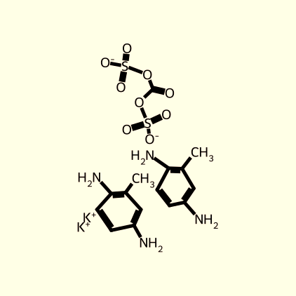 Cc1cc(N)ccc1N.Cc1cc(N)ccc1N.O=C(OS(=O)(=O)[O-])OS(=O)(=O)[O-].[K+].[K+]